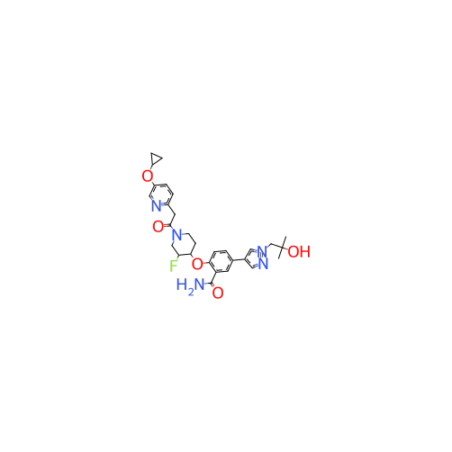 CC(C)(O)Cn1cc(-c2ccc(OC3CCN(C(=O)Cc4ccc(OC5CC5)cn4)CC3F)c(C(N)=O)c2)cn1